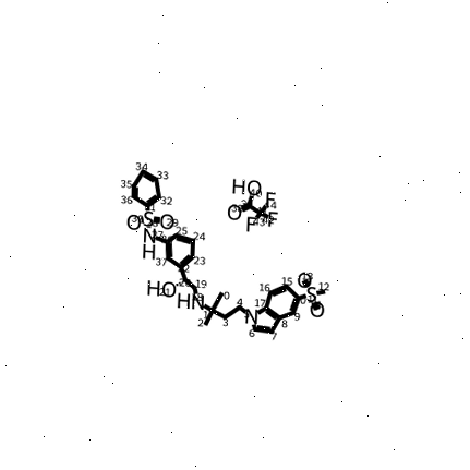 CC(C)(CCn1ccc2cc(S(C)(=O)=O)ccc21)NC[C@H](O)c1cccc(NS(=O)(=O)c2ccccc2)c1.O=C(O)C(F)(F)F